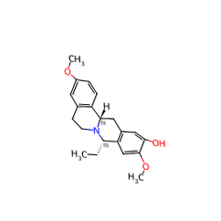 CC[C@H]1c2cc(OC)c(O)cc2C[C@H]2c3ccc(OC)cc3CCN12